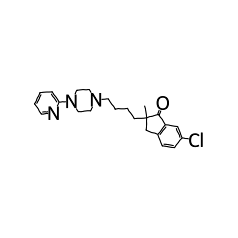 CC1(CCCCN2CCN(c3ccccn3)CC2)Cc2ccc(Cl)cc2C1=O